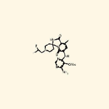 COc1c(N)ncnc1Nc1cc(C)c2n(c1=O)C1(CCN(CC(F)F)CC1)NC2=O